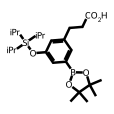 CC(C)[Si](Oc1cc(CCC(=O)O)cc(B2OC(C)(C)C(C)(C)O2)c1)(C(C)C)C(C)C